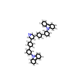 c1cc(-c2ccc(-c3cncc(-c4ccc(-c5cccc(-n6c7ccccc7c7ccccc76)c5)cc4)c3)cc2)cc(-n2c3ccccc3c3ccccc32)c1